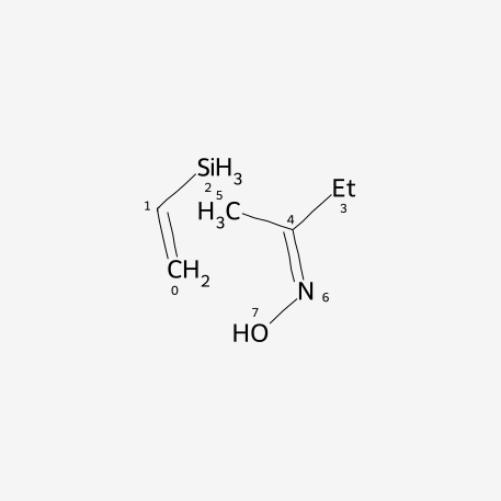 C=C[SiH3].CCC(C)=NO